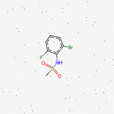 CS(=O)(=O)Nc1c(F)cccc1Br